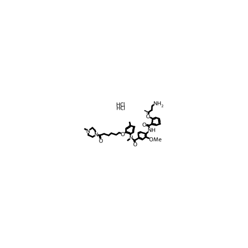 COc1cc(C(=O)N(C)c2ccc(C)cc2OCCCCCC(=O)N2CCN(C)CC2)ccc1NC(=O)c1ccccc1O[C@@H](C)CCN.Cl.Cl